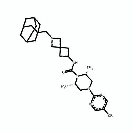 C[C@@H]1CN(c2ncc(C(F)(F)F)cn2)C[C@H](C)N1C(=O)NC1CC2(C1)CN(CC13CC4CC(CC(C4)C1)C3)C2